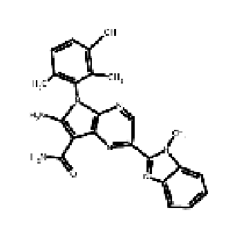 Cc1ccc(O)c(C)c1-n1c(N)c(C(N)=O)c2nc(-c3nc4ccccc4n3C)cnc21